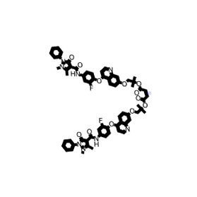 Cc1c(C(=O)Nc2ccc(Oc3ccnc4cc(OCC(C)(C)OC(=O)/C=C\C(=O)OC(C)(C)COc5ccc6c(Oc7ccc(NC(=O)c8c(C)n(C)n(-c9ccccc9)c8=O)cc7F)ccnc6c5)ccc34)c(F)c2)c(=O)n(-c2ccccc2)n1C